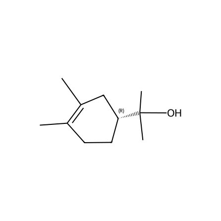 CC1=C(C)C[C@H](C(C)(C)O)CC1